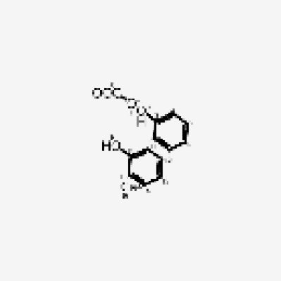 O=C([O-])[O-].Oc1ccccc1.Oc1ccccc1.[Ca+2]